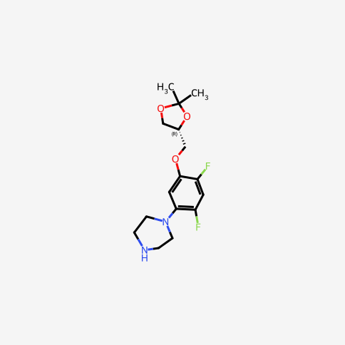 CC1(C)OC[C@@H](COc2cc(N3CCNCC3)c(F)cc2F)O1